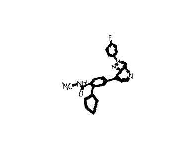 N#CNC(=O)c1ccc(-c2ccnc3cn(-c4ccc(F)cc4)nc23)cc1C1CCCC1